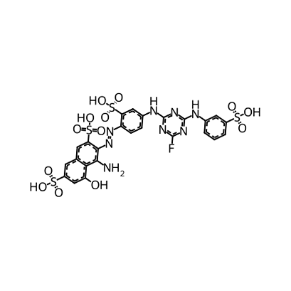 Nc1c(N=Nc2ccc(Nc3nc(F)nc(Nc4cccc(S(=O)(=O)O)c4)n3)cc2S(=O)(=O)O)c(S(=O)(=O)O)cc2cc(S(=O)(=O)O)cc(O)c12